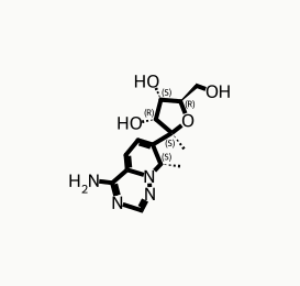 C[C@H]1C([C@]2(C)O[C@H](CO)[C@@H](O)[C@H]2O)=CC=C2C(N)=NC=NN21